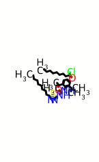 CCCCCCCCCC(=O)Cl.CCCCCCCCCc1nnc(NC(=O)Nc2c(C(C)C)cccc2C(C)C)s1